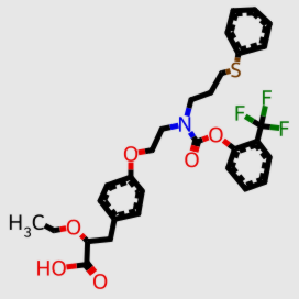 CCOC(Cc1ccc(OCCN(CCCSc2ccccc2)C(=O)Oc2ccccc2C(F)(F)F)cc1)C(=O)O